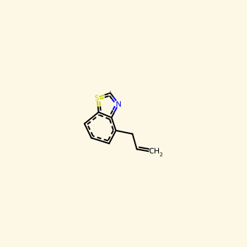 C=CCc1cccc2s[c]nc12